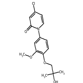 COc1cc(-n2ccc(Cl)cc2=O)ccc1OCC(C)(C)O